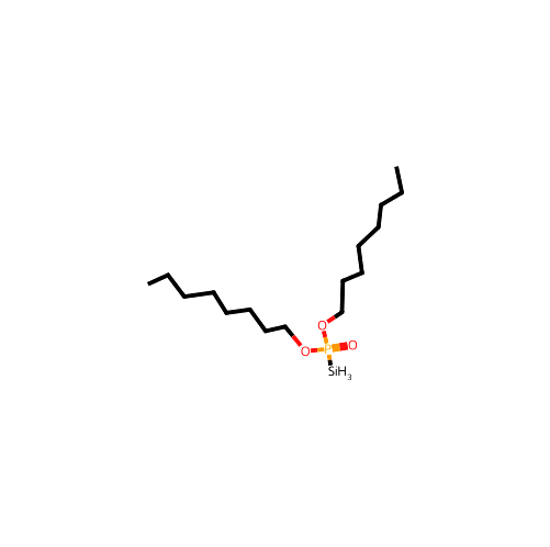 CCCCCCCCOP(=O)([SiH3])OCCCCCCCC